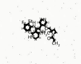 C=CC(=O)N1CCC1(C)COc1cnccc1-c1[nH]c2c(c1Nc1cccc(F)c1CC)C(=O)NCC2